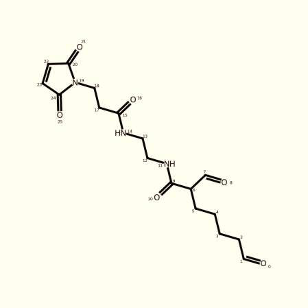 O=CCCCCC(C=O)C(=O)NCCNC(=O)CCN1C(=O)C=CC1=O